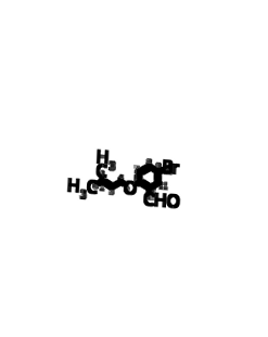 CC(C)=CCOc1ccc(Br)cc1C=O